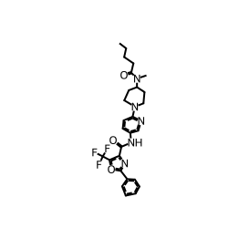 CCCCC(=O)N(C)C1CCN(c2ccc(NC(=O)c3nc(-c4ccccc4)oc3C(F)(F)F)cn2)CC1